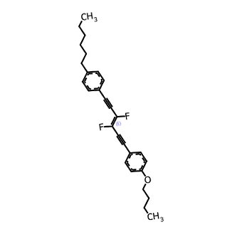 CCCCCCc1ccc(C#C/C(F)=C(\F)C#Cc2ccc(OCCCC)cc2)cc1